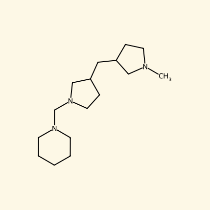 CN1CCC(CC2CCN(CN3CCCCC3)C2)C1